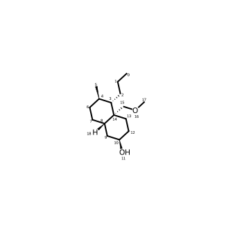 CCC[C@H]1[C@H](C)CC[C@H]2C[C@H](O)CC[C@@]21COC